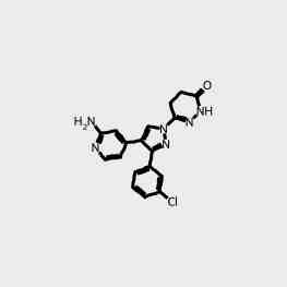 Nc1cc(-c2cn(C3=NNC(=O)CC3)nc2-c2cccc(Cl)c2)ccn1